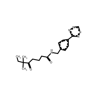 CCC(C)(C)C(=O)CCCC(=O)NCc1ccc(-c2nncnn2)cc1